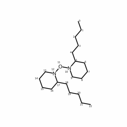 CCCCCC1CCCCN1ON1CCCCC1CCCCC